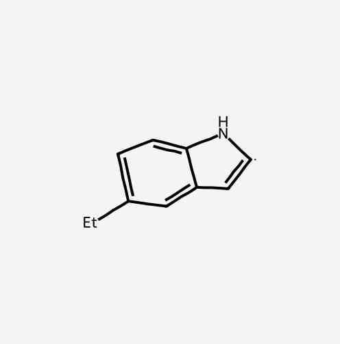 CCc1ccc2[nH][c]cc2c1